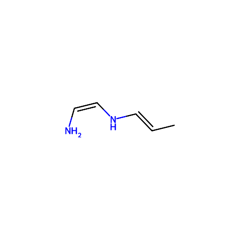 C/C=C/N/C=C\N